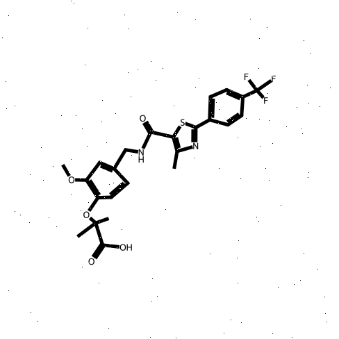 COc1cc(CNC(=O)c2sc(-c3ccc(C(F)(F)F)cc3)nc2C)ccc1OC(C)(C)C(=O)O